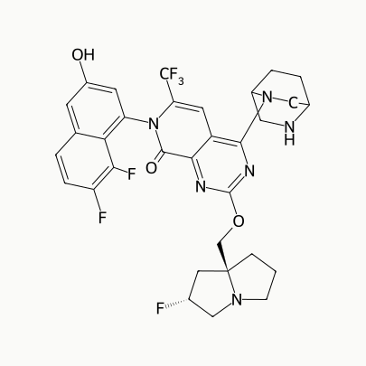 O=c1c2nc(OC[C@@]34CCCN3C[C@H](F)C4)nc(N3CC4CCC3CN4)c2cc(C(F)(F)F)n1-c1cc(O)cc2ccc(F)c(F)c12